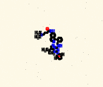 CC(C)c1cnn2c(NCc3ccccc3-c3nccc4cc(NC(=O)/C=C/CN(C)C)ccc34)nc(N3C[C@H]4CC[C@@H](C3)O4)nc12